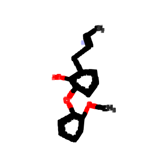 C/C=C/Cc1cccc(Oc2ccccc2OC)c1O